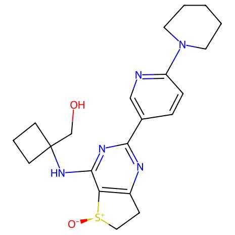 [O-][S@+]1CCc2nc(-c3ccc(N4CCCCC4)nc3)nc(NC3(CO)CCC3)c21